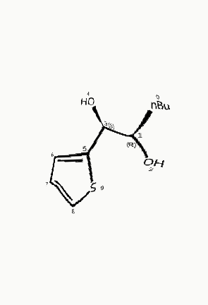 CCCC[C@@H](O)[C@H](O)c1cccs1